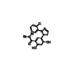 CCN(CC)C(=O)c1cc(-c2ccnn2-c2ccccc2Cl)c(O)cc1O